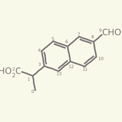 CC(C(=O)O)c1ccc2cc([C]=O)ccc2c1